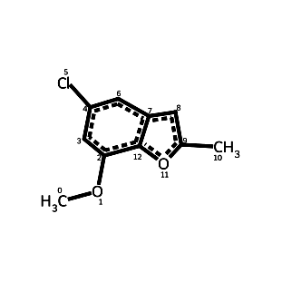 COc1cc(Cl)cc2cc(C)oc12